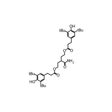 CC(C)(C)c1cc(CCC(=O)OCCC(CCOC(=O)CCc2cc(C(C)(C)C)c(O)c(C(C)(C)C)c2)C(N)=O)cc(C(C)(C)C)c1O